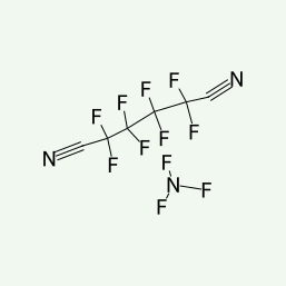 FN(F)F.N#CC(F)(F)C(F)(F)C(F)(F)C(F)(F)C#N